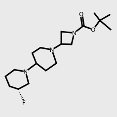 CC(C)(C)OC(=O)N1CC(N2CCC(N3CCC[C@@H](F)C3)CC2)C1